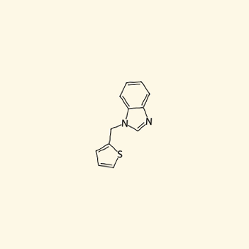 c1csc(Cn2cnc3ccccc32)c1